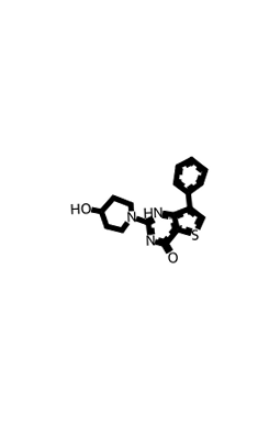 O=c1nc(N2CCC(O)CC2)[nH]c2c(-c3ccccc3)csc12